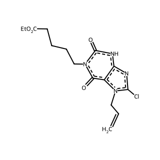 C=CCn1c(Cl)nc2[nH]c(=O)n(CCCCC(=O)OCC)c(=O)c21